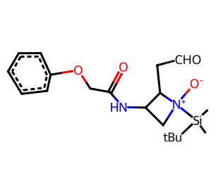 CC(C)(C)[Si](C)(C)[N+]1([O-])CC(NC(=O)COc2ccccc2)C1CC=O